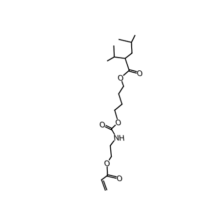 C=CC(=O)OCCNC(=O)OCCCCOC(=O)C(CC(C)C)C(C)C